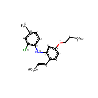 COCCOc1ccc(/C=C/C(=O)O)c(Nc2ccc(C(F)(F)F)cc2Cl)c1